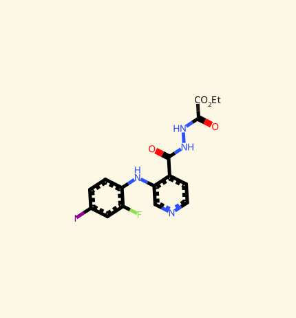 CCOC(=O)C(=O)NNC(=O)c1ccncc1Nc1ccc(I)cc1F